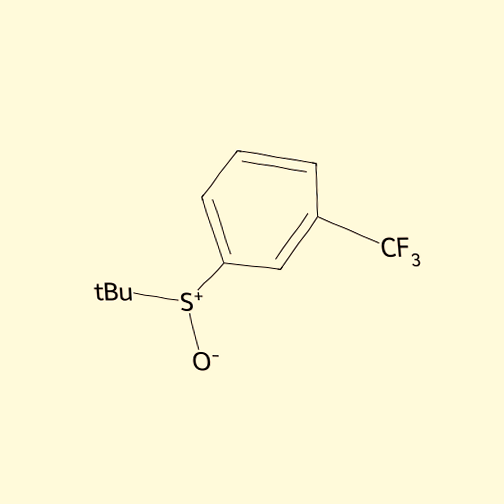 CC(C)(C)[S+]([O-])c1cccc(C(F)(F)F)c1